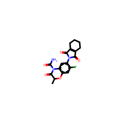 CC1Oc2cc(F)c(N3C(=O)C4=C(CCCC4)C3=O)cc2N(C(N)=O)C1=O